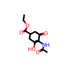 CCOC(=O)C1CC(=O)C(NC(C)=O)=C(O)C1